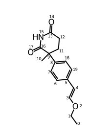 CCO/C=C/c1ccc(C2(C)CCC(=O)NC2=O)cc1